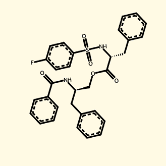 O=C(N[C@@H](COC(=O)[C@@H](Cc1ccccc1)NS(=O)(=O)c1ccc(F)cc1)Cc1ccccc1)c1ccccc1